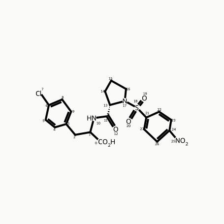 O=C(O)C(Cc1ccc(Cl)cc1)NC(=O)[C@@H]1CCCN1S(=O)(=O)c1ccc([N+](=O)[O-])cc1